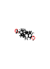 COc1cc2c(c3c1CC3)[C@H]1CC[C@]3(C)C[C@H](C=O)C[C@H]3[C@@H]1CC2